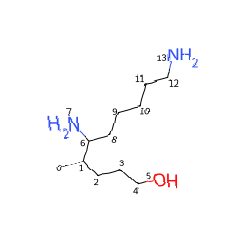 CC(CCCO)C(N)CCCCCN